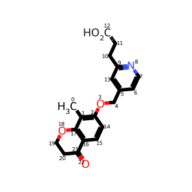 Cc1c(OCc2ccnc(CCC(=O)O)c2)ccc2c1OCCC2=O